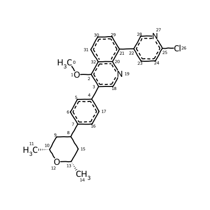 COc1c(-c2ccc(C3C[C@@H](C)O[C@@H](C)C3)cc2)cnc2c(-c3ccc(Cl)nc3)cccc12